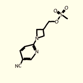 CS(=O)(=O)OCC1CN(c2ccc(C#N)cn2)C1